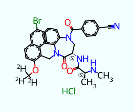 Cl.[2H]C([2H])([2H])Oc1ccc2cc(Br)ccc2c1CN1C(=O)[C@@H](NC(=O)[C@H](C)NC)CN(C(=O)c2ccc(C#N)cc2)c2ccccc21